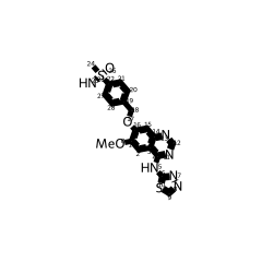 COc1cc2c(Nc3nncs3)ncnc2cc1OCc1ccc(S(C)(=N)=O)cc1